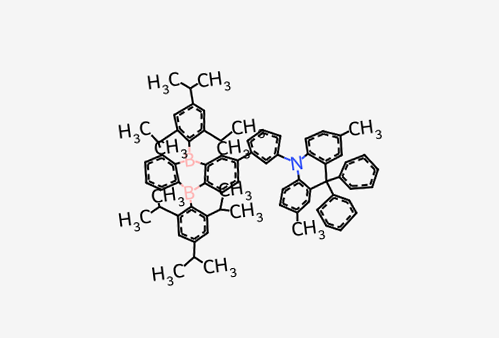 Cc1ccc2c(c1)C(c1ccccc1)(c1ccccc1)c1cc(C)ccc1N2c1cccc(-c2ccc3c(c2)B(c2c(C(C)C)cc(C(C)C)cc2C(C)C)c2ccccc2B3c2c(C(C)C)cc(C(C)C)cc2C(C)C)c1